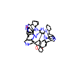 c1ccc2c(c1)oc1ccc(-c3c(-n4c5ccccc5c5cnccc54)c(-n4c5ccccc5c5ccccc54)nc(-n4c5ccccc5c5cnccc54)c3-n3c4ccccc4c4cnccc43)cc12